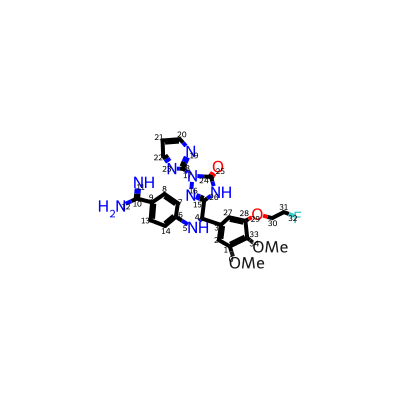 COc1cc(C(Nc2ccc(C(=N)N)cc2)c2nn(-c3ncccn3)c(=O)[nH]2)cc(OCCF)c1OC